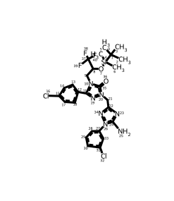 CC(C)(C)[Si](C)(C)OC(Cn1c(-c2ccc(Cl)cc2)nn(Cc2nc(N)n(-c3cccc(Cl)c3)n2)c1=O)C(F)(F)F